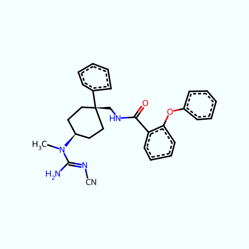 CN(C(N)=NC#N)[C@H]1CC[C@](CNC(=O)c2ccccc2Oc2ccccc2)(c2ccccc2)CC1